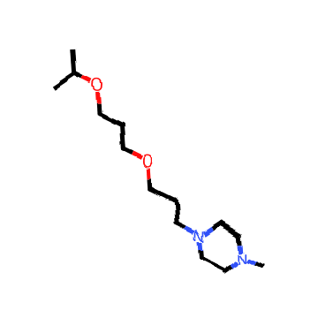 CC(C)OCCCOCCCN1CCN(C)CC1